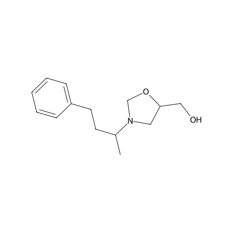 CC(CCc1ccccc1)N1COC(CO)C1